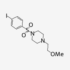 COCCN1CCN(S(=O)(=O)c2ccc(I)cc2)CC1